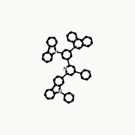 c1ccc(-c2cc(-c3cc(-c4cc5ccccc5c5ccccc45)cc(-n4c5ccccc5c5ccccc54)c3)nc(-c3ccc4c5ccccc5n(-c5ccccc5)c4c3)c2)cc1